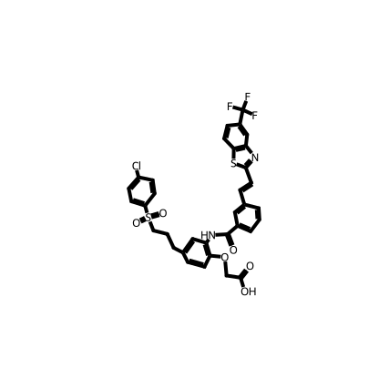 O=C(O)COc1ccc(CCCS(=O)(=O)c2ccc(Cl)cc2)cc1NC(=O)c1cccc(C=Cc2nc3cc(C(F)(F)F)ccc3s2)c1